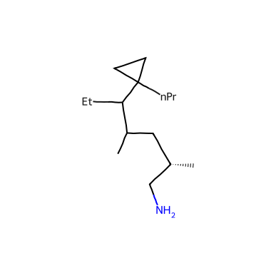 CCCC1(C(CC)C(C)C[C@H](C)CN)CC1